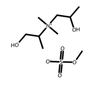 CC(O)C[N+](C)(C)C(C)CO.COS(=O)(=O)[O-]